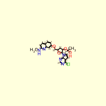 CNc1ccc2ccc(OCC3CC(OC(C)(C)O)C(n4ccc5c(Cl)ncnc54)O3)cc2n1